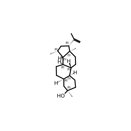 C=C(C)[C@H]1C[C@@H](C)[C@H]2[C@@H]3CC[C@@H]4C[C@](C)(O)CC[C@@H]4[C@H]3CC[C@@]21C